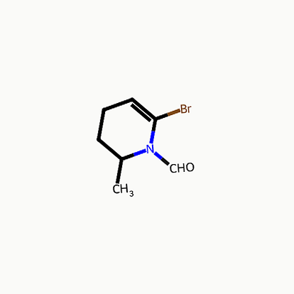 CC1CCC=C(Br)N1C=O